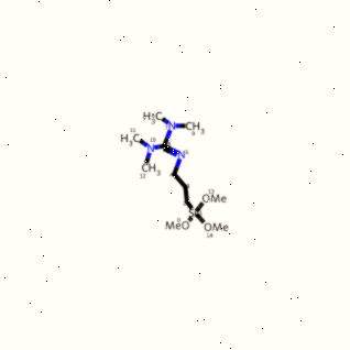 CO[Si](CCCN=C(N(C)C)N(C)C)(OC)OC